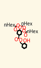 CCCCCCC(=O)Oc1cc(C(=O)OCc2ccccc2O)cc(OC(=O)CCCCCC)c1OC(=O)CCCCCC